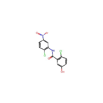 O=C(Nc1cc([N+](=O)[O-])ccc1Cl)c1cc(O)ccc1Cl